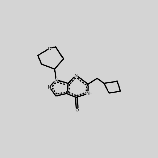 O=c1[nH]c(CC2CCC2)nc2c1cnn2C1CCOCC1